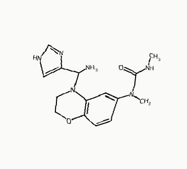 CNC(=O)N(C)c1ccc2c(c1)N(C(N)c1c[nH]cn1)CCO2